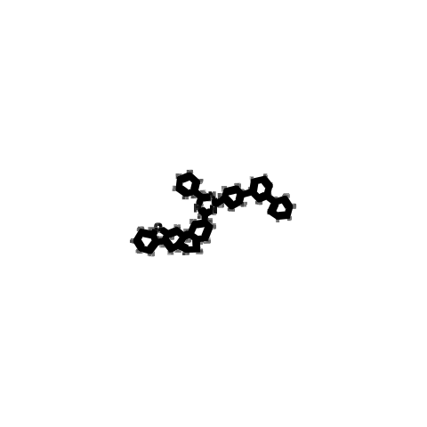 c1ccc(-c2cccc(-c3ccc(-c4nc(-c5ccccc5)nc(-c5ccc6ccc7cc8c(cc7c6c5)oc5ccccc58)n4)cc3)c2)cc1